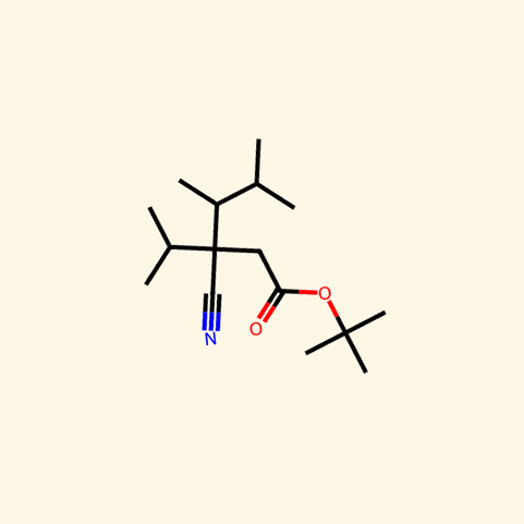 CC(C)C(C)C(C#N)(CC(=O)OC(C)(C)C)C(C)C